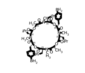 Bc1ccc(C[C@H]2OC(=O)[C@H](CC(C)C)N(C)C(=O)[C@@H](C)OC(=O)[C@H](CC(C)C)N(C)C(=O)[C@@H](Cc3ccc(B)cc3)OC(=O)[C@H](CC(C)C)N(C)C(=O)[C@@H](C)OC(=O)[C@H](CC(C)C)N(C)C2=O)cc1